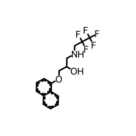 OC(CNCC(F)(F)C(F)(F)F)COc1cccc2ccccc12